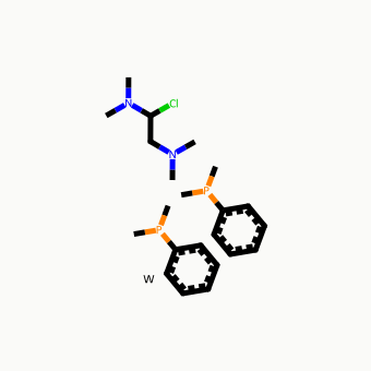 CN(C)CC(Cl)N(C)C.CP(C)c1ccccc1.CP(C)c1ccccc1.[W]